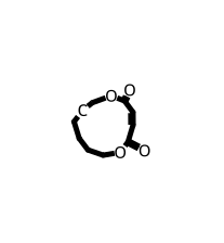 O=C1C=CC(=O)OCCCCCCO1